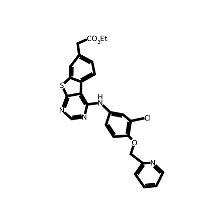 CCOC(=O)Cc1ccc2c(c1)sc1ncnc(Nc3ccc(OCc4ccccn4)c(Cl)c3)c12